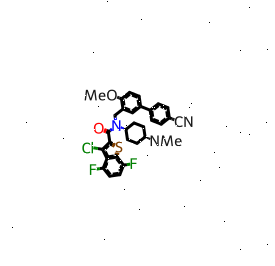 CN[C@H]1CC[C@@H](N(Cc2cc(-c3ccc(C#N)cc3)ccc2OC)C(=O)c2sc3c(F)ccc(F)c3c2Cl)CC1